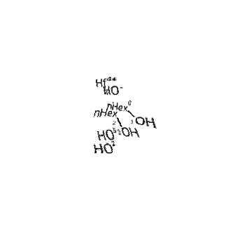 CCCCCCO.CCCCCCO.[Hf+4].[OH-].[OH-].[OH-]